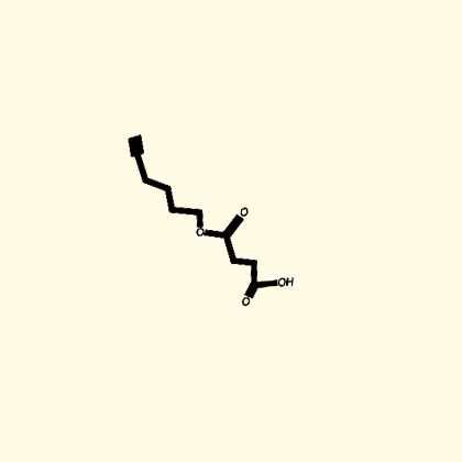 C#CCCCCOC(=O)CCC(=O)O